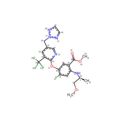 COC[C@H](C)Nc1cc(F)c(Oc2ncc(Cn3nccn3)cc2C(F)(F)F)cc1C(=O)OC